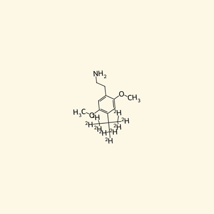 [2H]C([2H])([2H])C(c1cc(OC)c(CCN)cc1OC)(C([2H])([2H])[2H])C([2H])([2H])[2H]